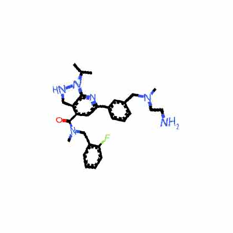 CC(C)N1NCc2c(C(=O)N(C)Cc3ccccc3F)cc(-c3cccc(CN(C)CCN)c3)nc21